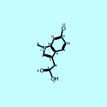 Cn1cc(CC(=O)O)c2ccc(Cl)cc21